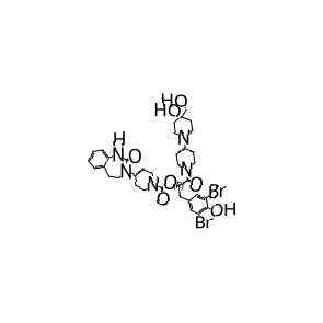 O=C(O[C@H](Cc1cc(Br)c(O)c(Br)c1)C(=O)N1CCC(N2CCC(O)(CO)CC2)CC1)N1CCC(N2CCc3ccccc3NC2=O)CC1